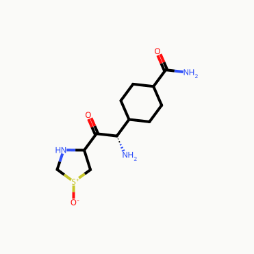 NC(=O)C1CCC([C@H](N)C(=O)C2C[S+]([O-])CN2)CC1